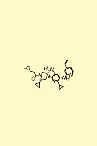 C=Cc1ccnc(Nc2cc(N)c(N3CCN(C(=O)CCOC)[C@H](C4CC4)C3)nc2C2CC2)c1